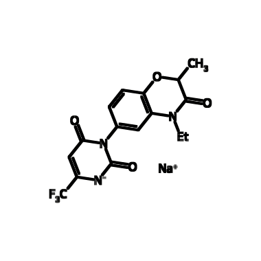 CCN1C(=O)C(C)Oc2ccc(-n3c(=O)cc(C(F)(F)F)[n-]c3=O)cc21.[Na+]